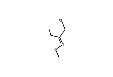 CON=C(CCl)CCl